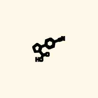 N#Cc1ccc(C2=C(C(=O)O)CCC2)cc1